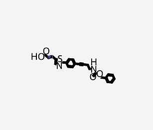 O=C(O)/C=C/c1cnc(-c2ccc(C#CCCNC(=O)OCc3ccccc3)cc2)s1